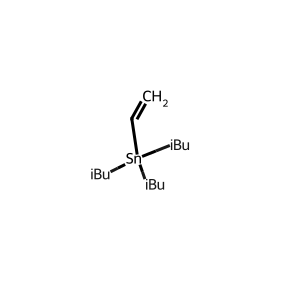 C=[CH][Sn]([CH](C)CC)([CH](C)CC)[CH](C)CC